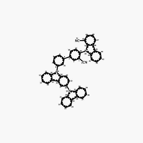 N#Cc1cc(-c2cccc(-n3c4ccccc4c4cc(-n5c6ccccc6c6ccccc65)ccc43)c2)ccc1-n1c2ccccc2c2cccc(C#N)c21